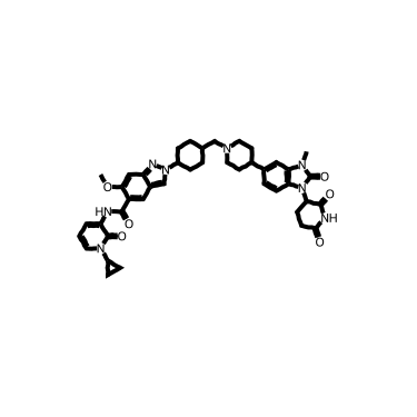 COc1cc2nn(C3CCC(CN4CCC(c5ccc6c(c5)n(C)c(=O)n6C5CCC(=O)NC5=O)CC4)CC3)cc2cc1C(=O)Nc1cccn(C2CC2)c1=O